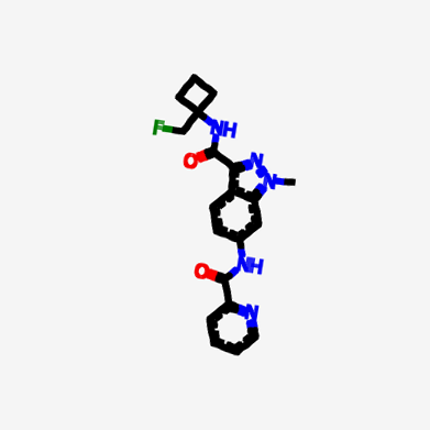 Cn1nc(C(=O)NC2(CF)CCC2)c2ccc(NC(=O)c3ccccn3)cc21